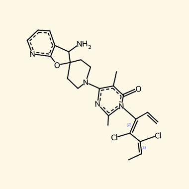 C=C/C(=C(Cl)\C(Cl)=C/C)n1c(C)nc(N2CCC3(CC2)Oc2ncccc2C3N)c(C)c1=O